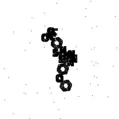 O=[N+]([O-])c1ccc2nc(SC3(c4ccc(Oc5ccccc5)cc4)N=NN=N3)sc2c1